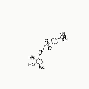 CCCc1c(OCCS(=O)(=O)c2ccc(-c3nnn[nH]3)cc2)ccc(C(C)=O)c1O